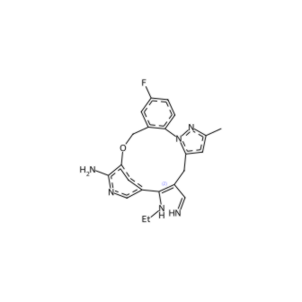 CCN/C1=C(\C=N)Cc2cc(C)nn2-c2ccc(F)cc2COc2cc1cnc2N